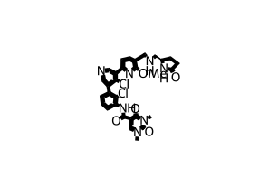 COc1nc(-c2cncc(-c3cccc(NC(=O)c4cn(C)c(=O)n(C)c4=O)c3Cl)c2Cl)ccc1CNC[C@H]1CCC(=O)N1